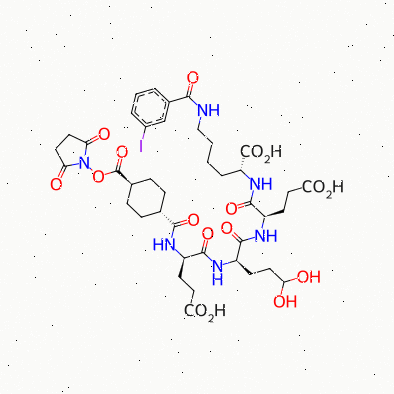 O=C(O)CC[C@@H](NC(=O)[C@@H](CCC(O)O)NC(=O)[C@@H](CCC(=O)O)NC(=O)[C@H]1CC[C@H](C(=O)ON2C(=O)CCC2=O)CC1)C(=O)N[C@H](CCCCNC(=O)c1cccc(I)c1)C(=O)O